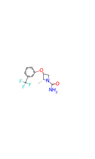 C[C@@H]1[C@@H](Oc2cccc(C(F)(F)F)c2)CN1C(N)=O